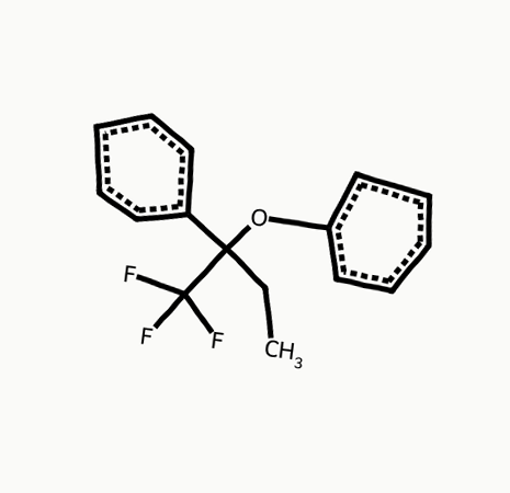 CCC(Oc1ccccc1)(c1ccccc1)C(F)(F)F